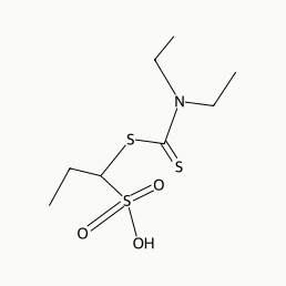 CCC(SC(=S)N(CC)CC)S(=O)(=O)O